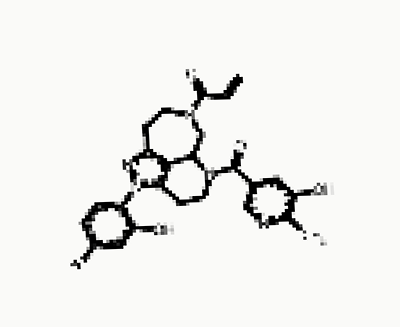 C=CC(=O)N1CCc2nn(-c3ccc(C(C)C)cc3O)c3c2[C@@H](C1)N(C(=O)c1cnc(C(F)(F)F)c(O)c1)CC3